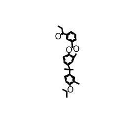 CCC(=O)c1cccc(C(=O)Oc2ccc(C(C)(C)c3ccc(OC(C)C)c(C)c3)cc2C)c1